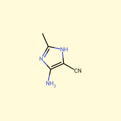 Cc1nc(N)c(C#N)[nH]1